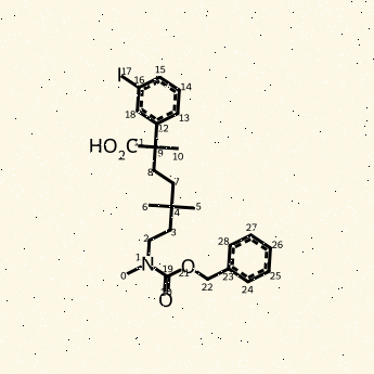 CN(CCC(C)(C)CCC(C)(C(=O)O)c1cccc(I)c1)C(=O)OCc1ccccc1